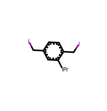 CC(C)c1cc(CI)ccc1CI